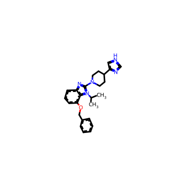 CC(C)n1c(N2CCC(c3c[nH]cn3)CC2)nc2cccc(OCc3ccccc3)c21